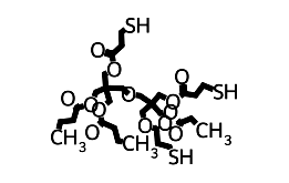 CCCC(=O)OCC(COCC(COC(=O)CC)(COC(=O)CCS)COC(=O)CCS)(COC(=O)CCC)COC(=O)CCS